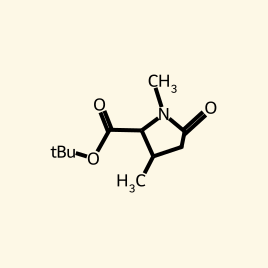 CC1CC(=O)N(C)C1C(=O)OC(C)(C)C